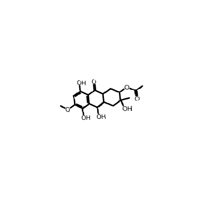 COc1cc(O)c2c(c1O)C(O)C1CC(C)(O)C(OC(C)=O)CC1C2=O